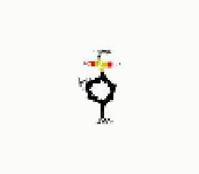 CNS(=O)(=O)c1ccc(OC)cc1.[NaH]